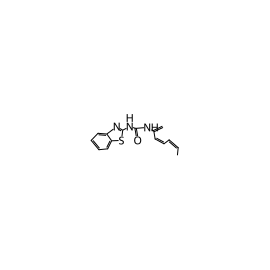 C=C(/C=C\C=C/C)NC(=O)Nc1nc2ccccc2s1